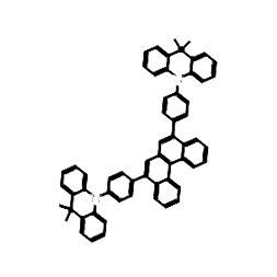 CC1(C)c2ccccc2N(c2ccc(-c3cc4cc(-c5ccc(N6c7ccccc7C(C)(C)c7ccccc76)cc5)c5ccccc5c4c4ccccc34)cc2)c2ccccc21